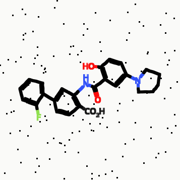 O=C(Nc1cc(-c2ccccc2F)ccc1C(=O)O)c1cc(N2CCCCC2)ccc1O